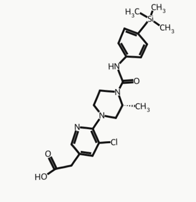 C[C@@H]1CN(c2ncc(CC(=O)O)cc2Cl)CCN1C(=O)Nc1ccc([Si](C)(C)C)cc1